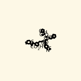 CC1(C)CCc2sc(-c3cccc(CCCN(CC[C@H](Cc4ccccc4)NC(=O)O[C@H]4CO[C@@]5(C)OCC[C@@H]45)S(=O)(=O)c4ccc5ncsc5c4)c3)c(C(=O)O)c2C1